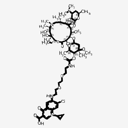 CC[C@H]1OC(=O)[C@H](C)[C@@H](OC2C[C@@](C)(OC)[C@H](OC(=O)NCCOCCOCCNc3cc4c(=O)c(C(=O)O)cn(C5CC5)c4cc3Cl)[C@@H](C)O2)[C@H](C)[C@@H](O[C@@H]2O[C@H](C)CC(N(C)C)[C@H]2O)[C@](C)(O)C[C@@H](C)CN(C)[C@H](C)[C@@H](O)[C@]1(C)O